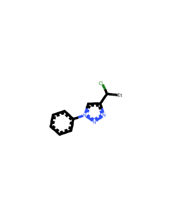 CCC(Cl)c1cn(-c2ccccc2)nn1